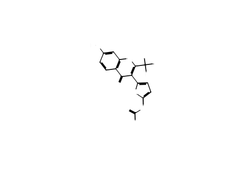 O=C(O)Oc1ccc(-c2c(C(F)(F)F)oc3cc(O)ccc3c2=O)s1